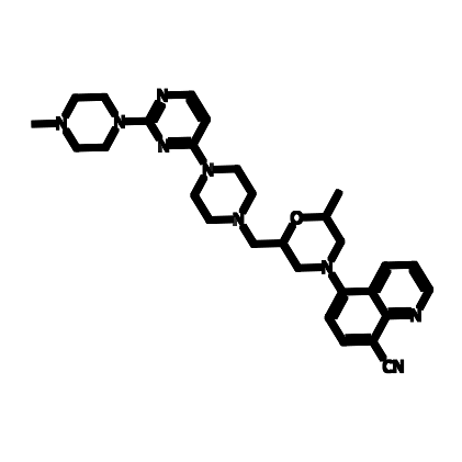 CC1CN(c2ccc(C#N)c3ncccc23)CC(CN2CCN(c3ccnc(N4CCN(C)CC4)n3)CC2)O1